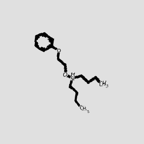 CCCC[SiH](CCCC)OCCOc1ccccc1